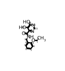 CCOc1ccccc1CNC(=O)c1ncnc(O)c1O